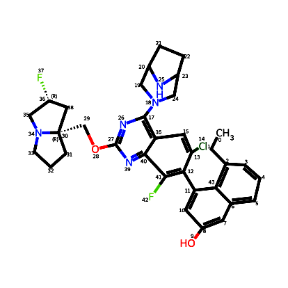 CCc1cccc2cc(O)cc(-c3c(Cl)cc4c(N5CC6CCC(C5)N6)nc(OC[C@]56CCCN5C[C@H](F)C6)nc4c3F)c12